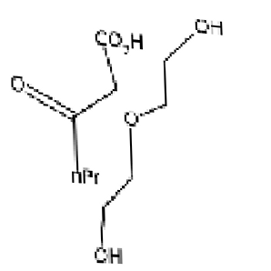 CCCC(=O)CC(=O)O.OCCOCCO